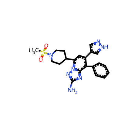 CS(=O)(=O)N1CCC(c2cc(-c3cn[nH]c3)c(-c3ccccc3)c3nc(N)nn23)CC1